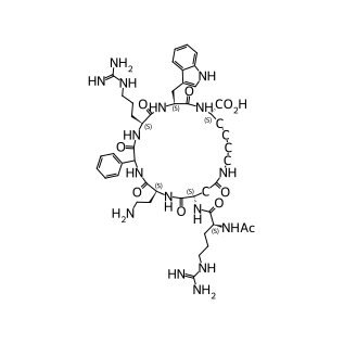 CC(=O)N[C@@H](CCCNC(=N)N)C(=O)N[C@H]1CC(=O)NCCCC[C@@H](C(=O)O)NC(=O)[C@H](Cc2c[nH]c3ccccc23)NC(=O)[C@H](CCCNC(=N)N)NC(=O)C(c2ccccc2)NC(=O)[C@H](CCN)NC1=O